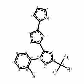 CC(C)(O)c1cc(-c2ccc(-c3ccc[nH]3)s2)n(-c2ccccc2Cl)n1